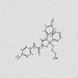 N#CCCCC1(c2ccccc2)CN(C(=O)Nc2ccc(C(F)(F)F)cc2)N=C1c1ccc(Cl)cc1